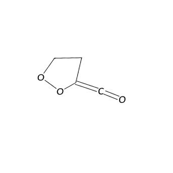 O=C=C1CCOO1